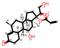 C=CC(=O)O[C@]1(C(=O)CO)CC[C@H]2[C@@H]3C[C@H](C)C4=CC(=O)CC[C@]4(C)[C@H]3[C@@H](O)C[C@@]21C